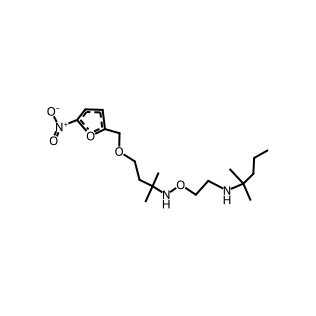 CCCC(C)(C)NCCONC(C)(C)CCOCc1ccc([N+](=O)[O-])o1